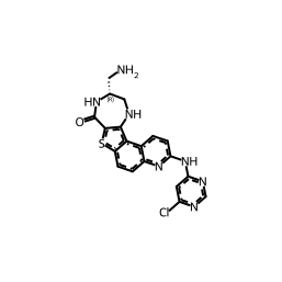 NC[C@@H]1CNc2c(sc3ccc4nc(Nc5cc(Cl)ncn5)ccc4c23)C(=O)N1